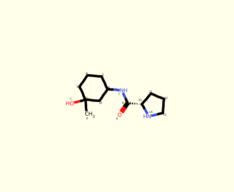 CC1(O)CCCC(NC(=O)[C@@H]2CCCN2)C1